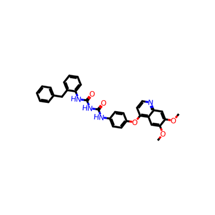 COc1cc2nccc(Oc3ccc(NC(=O)NC(=O)Nc4ccccc4Cc4ccccc4)cc3)c2cc1OC